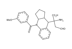 COc1cccc(C(=O)N2c3ccccc3C(C(N)(CC=O)C(=O)O)C3CCCC32)c1